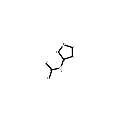 CC(C)OC1CCSC1